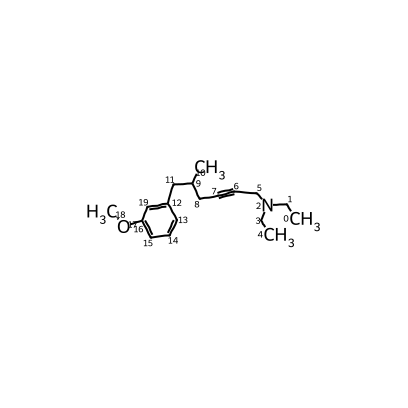 CCN(CC)CC#CCC(C)Cc1cccc(OC)c1